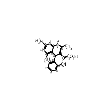 CCOC(=O)OC1=C(C)Nc2nc(N)nc(N)c2C1c1ccccc1C#N